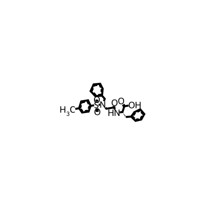 Cc1ccc(S(=O)(=O)N(CC(=O)N[C@@H](Cc2ccccc2)C(=O)O)Cc2ccccc2)cc1